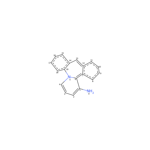 NC1=CC=CN2C1=c1ccccc1=Cc1ccccc12